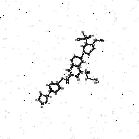 CCOc1ccc(-c2ccc3nc(NCc4ccc(-n5cncn5)cc4)nc(NCC(F)(F)F)c3n2)cc1S(C)(=O)=O